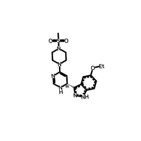 CCOc1ccc2[nH]nc([C@H]3C=C(N4CCN(S(C)(=O)=O)CC4)N=CN3)c2c1